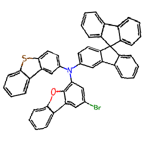 Brc1cc(N(c2ccc3c(c2)-c2ccccc2C32c3ccccc3-c3ccccc32)c2ccc3sc4ccccc4c3c2)c2oc3ccccc3c2c1